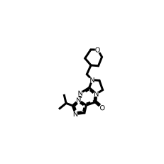 CC(C)c1ncc2c(=O)n3c(nn12)N(CC1CCOCC1)CC3